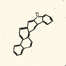 c1ccc2c(c1)ccc1c3cc4c(cc3ccc21)[nH]c1ccccc14